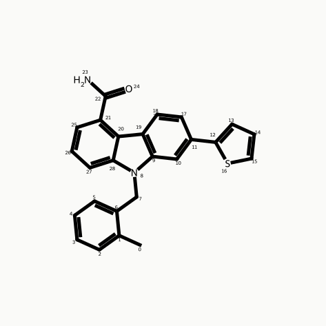 Cc1ccccc1Cn1c2cc(-c3cccs3)c[c]c2c2c(C(N)=O)cccc21